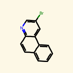 Brc1cnc2ccc3ccccc3c2c1